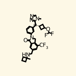 Cn1cnnc1[C@@H](c1cccc(N2Cc3c(cc(CNC4(C)CCC4)cc3C(F)(F)F)C2=O)c1)C1CC(OC(F)F)C1